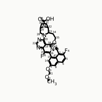 C#Cc1c(F)ccc2cc(OCOC)cc(-c3nc4c5c(ncnc5c3F)N3CC5CCC(C3CCO4)N5C(=O)O)c12